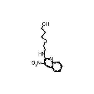 O=[N+]([O-])c1cc2ccccc2nc1NCCOCCCO